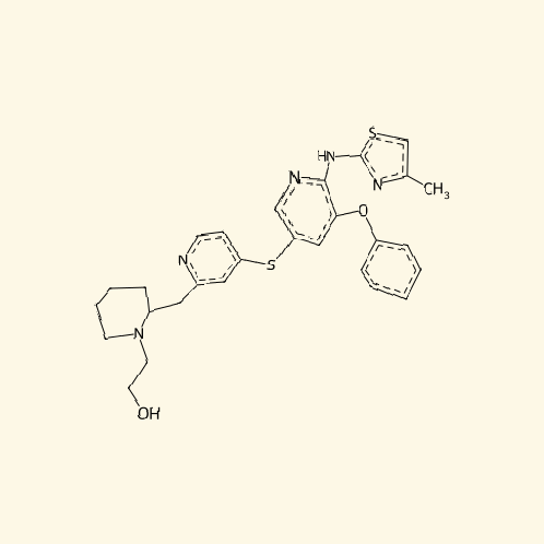 Cc1csc(Nc2ncc(Sc3ccnc(CC4CCCCN4CCO)c3)cc2Oc2ccccc2)n1